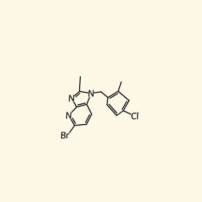 Cc1cc(Cl)ccc1Cn1c(C)nc2nc(Br)ccc21